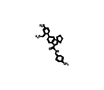 CCc1cc(N)ccc1-c1ccc2c(c1)C1(CCCC1)CN2C(=O)NCc1ccc(C)cc1